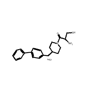 Cl.NC(CO)C(=O)N1CCC(Cc2ccc(-c3ccccc3)cc2)CC1